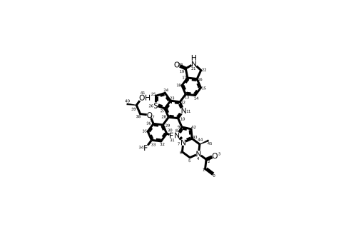 C=CC(=O)N1CCn2nc(-c3nc(-c4ccc5c(c4)C(=O)NC5)c4ccsc4c3-c3c(F)cc(F)cc3OC[C@@H](C)O)cc2[C@H]1C